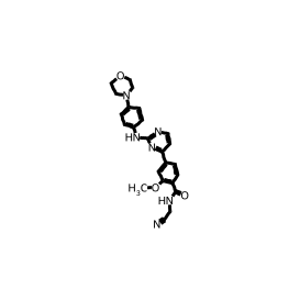 COc1cc(-c2ccnc(Nc3ccc(N4CCOCC4)cc3)n2)ccc1C(=O)NCC#N